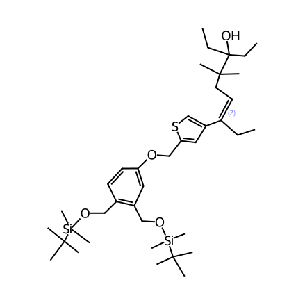 CC/C(=C/CC(C)(C)C(O)(CC)CC)c1csc(COc2ccc(CO[Si](C)(C)C(C)(C)C)c(CO[Si](C)(C)C(C)(C)C)c2)c1